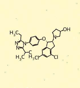 CCc1nnc(C(C)C)n1-c1ccc(O[C@H]2c3cc(Cl)cc(Cl)c3C[C@@H]2N2CC[C@@H](O)C2)cc1